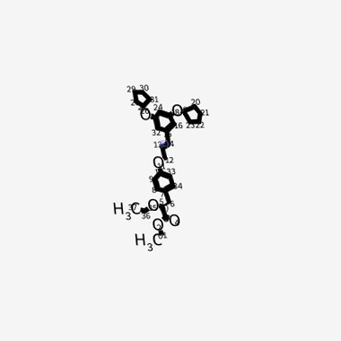 CCOC(=O)[C@H](Cc1ccc(OC/C=C/c2cc(OC3CCCC3)cc(OC3CCCC3)c2)cc1)OCC